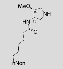 CCCCCCCCCCCCCCC(=O)N[C@H]1CNC[C@@H]1OC